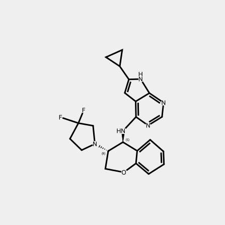 FC1(F)CCN([C@H]2COc3ccccc3[C@@H]2Nc2ncnc3[nH]c(C4CC4)cc23)C1